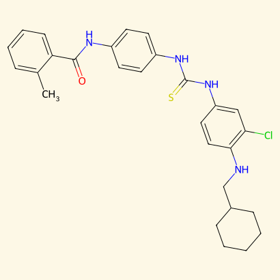 Cc1ccccc1C(=O)Nc1ccc(NC(=S)Nc2ccc(NCC3CCCCC3)c(Cl)c2)cc1